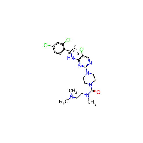 C[C@@H](Nc1nc(N2CCN(C(=O)N(C)CCN(C)C)CC2)ncc1Cl)c1ccc(Cl)cc1Cl